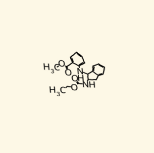 CCOC(=O)NC1Cc2ccccc2C1Nc1ccccc1C(=O)OC